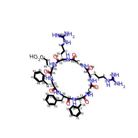 N=C(N)NCCC[C@@H]1NC(=O)CNC(=O)[C@H](Cc2ccccc2)NC(=O)[C@@H](Cc2ccccc2)NC(=O)[C@H](Cc2ccccc2)NC(=O)[C@H](CCC(=O)O)NC(=O)[C@H](CCCNC(=N)N)NC(=O)CNC1=O